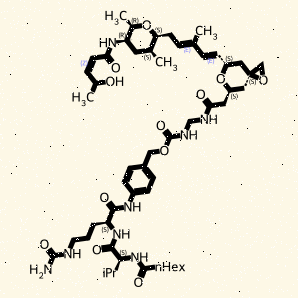 CCCCCCC(=O)N[C@H](C(=O)N[C@@H](CCCNC(N)=O)C(=O)Nc1ccc(COC(=O)NCNC(=O)C[C@@H]2C[C@@]3(CO3)C[C@@H](/C=C/C(C)=C/C[C@@H]3O[C@H](C)[C@H](NC(=O)/C=C\C(C)O)C[C@@H]3C)O2)cc1)C(C)C